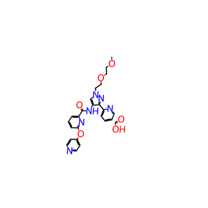 COCCOCCn1cc(NC(=O)c2cccc(Oc3ccncc3)n2)c(-c2ccccn2)n1.O=CO